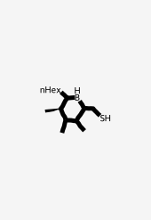 CCCCCCC1BC(CS)C(C)C(C)[C@H]1C